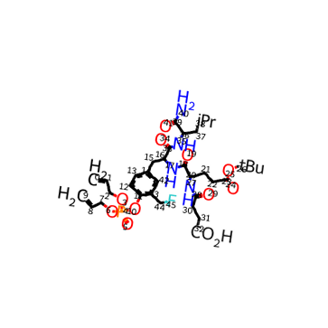 C=CCOP(=O)(OCC=C)Oc1ccc(CC(NC(=O)C(CCC(=O)OC(C)(C)C)NC(=O)CCC(=O)O)C(=O)NC(CC(C)C)C(N)=O)cc1CF